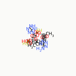 CC(C)(C)[Si](C)(C)OC1[C@@H](O[P@](=O)(S)OC[C@@]23C[C@]4(C)O[C@@H]([C@H](n5cnc6c(N)ncnc65)O2)[C@@H]34)[C@H](n2cnc3c(N)ncnc32)O[C@@H]1CO[P@@](=O)(O)S